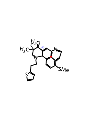 CSc1ccc(C2/C(=C\c3ccccn3)C(=O)C(C)(C)CN2CCc2cccs2)cc1